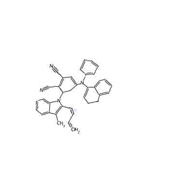 C=C/C=C\c1c(C)c2ccccc2n1C1CC(N(C2=CCCc3ccccc32)c2ccccc2)=CC(C#N)=C1C#N